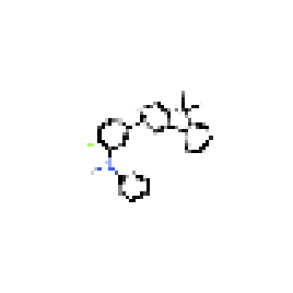 CN(c1ccccc1F)c1cc(-c2ccc3c(c2)-c2ccccc2C3(C)C)ccc1F